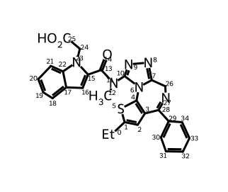 CCc1cc2c(s1)-n1c(nnc1N(C)C(=O)c1cc3ccccc3n1CC(=O)O)CN=C2c1ccccc1